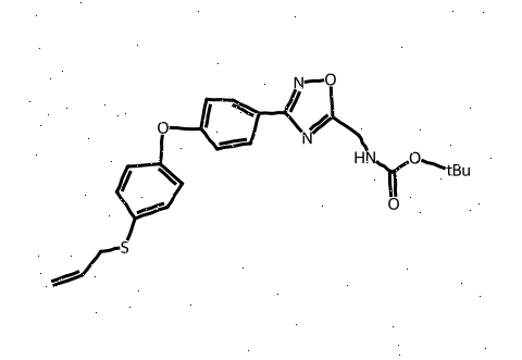 C=CCSc1ccc(Oc2ccc(-c3noc(CNC(=O)OC(C)(C)C)n3)cc2)cc1